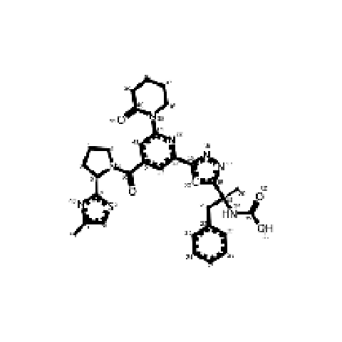 Cc1csc([C@H]2CCCN2C(=O)c2cc(-c3nnc([C@@](C)(Cc4ccccc4)NC(=O)O)o3)nc(N3CCCCC3=O)c2)n1